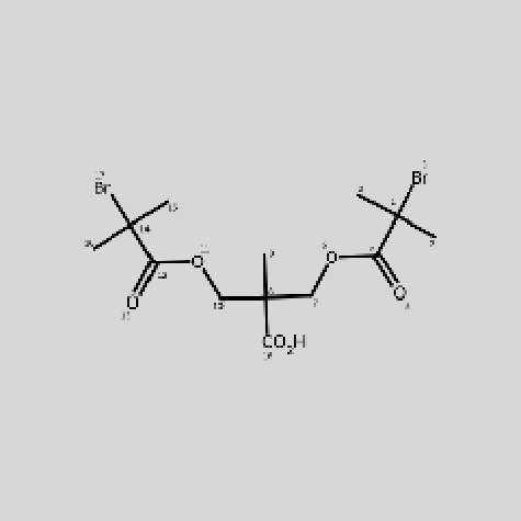 CC(C)(Br)C(=O)OCC(C)(COC(=O)C(C)(C)Br)C(=O)O